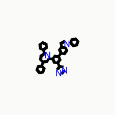 C1=CC(c2ccccc2)=CC(c2cc(-c3cncnc3)cc(-c3ccc4c(ccn4-c4ccccc4)c3)c2)=NC=1c1ccccc1